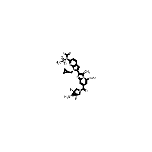 COc1cc(C(=O)N2C[C@@H]3[C@H](N)[C@@H]3C2)cc2nc(-c3cc4ccc(N(C(F)F)S(C)(=O)=O)nc4n3CC3CC3)c(C)n12